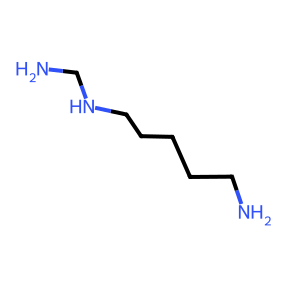 NCCCCCNCN